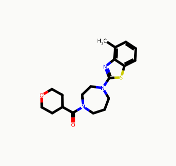 Cc1cccc2sc(N3CCCN(C(=O)C4CCOCC4)CC3)nc12